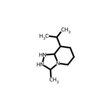 CC(C)C1CCCN2C(C)NNC12